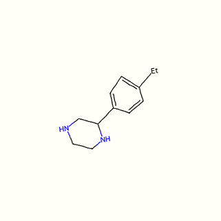 CCc1ccc(C2CNCCN2)cc1